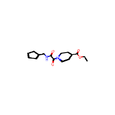 CCOC(=O)C1CCN(C(=O)C(=O)NCC2CCCC2)CC1